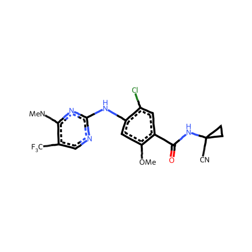 CNc1nc(Nc2cc(OC)c(C(=O)NC3(C#N)CC3)cc2Cl)ncc1C(F)(F)F